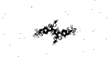 CCOC(=O)c1c(-c2ccc3cc([Si](C)(C)C)sc3c2)sc2c(C(=O)OCC)c(-c3ccc4cc([Si](C)(C)C)sc4c3)sc12